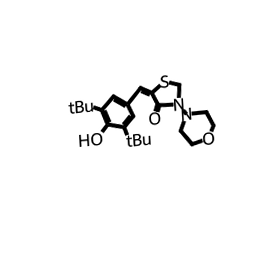 CC(C)(C)c1cc(C=C2SCN(N3CCOCC3)C2=O)cc(C(C)(C)C)c1O